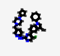 CC(=O)c1cn(C2CCCCCC2)c2ccc(-c3nc(Nc4ccc(CN5CCN(C6CCCC6)CC5)cn4)ncc3F)cc12